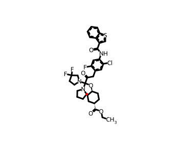 CCOC(=O)[C@H]1CC[C@H](OC(C(=O)Cc2cc(Cl)c(NC(=O)c3csc4ccccc34)cc2F)(N2CCCC2)N2CCC(F)(F)C2)CC1